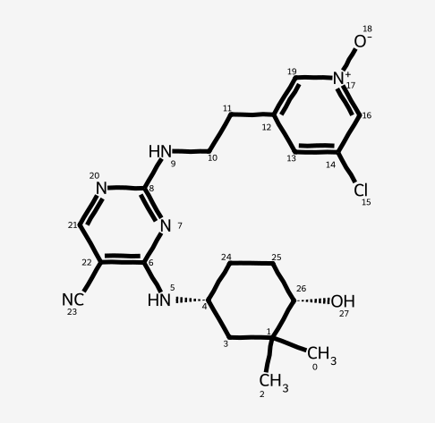 CC1(C)C[C@H](Nc2nc(NCCc3cc(Cl)c[n+]([O-])c3)ncc2C#N)CC[C@@H]1O